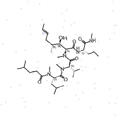 C/C=C/C[C@@H](C)[C@@H](O)[C@@H](C(=O)N[C@@H](CCC)C(=O)NC)N(C)C(=O)[C@H](C(C)C)N(C)C(=O)[C@H](CC(C)C)N(C)C(=O)CCC(C)C